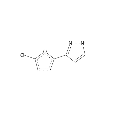 Clc1ccc(C2=N[N]C=C2)o1